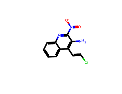 Nc1c([N+](=O)[O-])nc2ccccc2c1/C=C/Cl